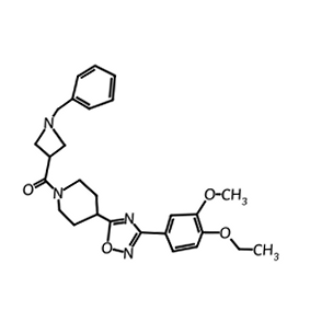 CCOc1ccc(-c2noc(C3CCN(C(=O)C4CN(Cc5ccccc5)C4)CC3)n2)cc1OC